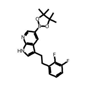 CC1(C)OB(c2cnc3[nH]cc(CCc4cccc(F)c4F)c3c2)OC1(C)C